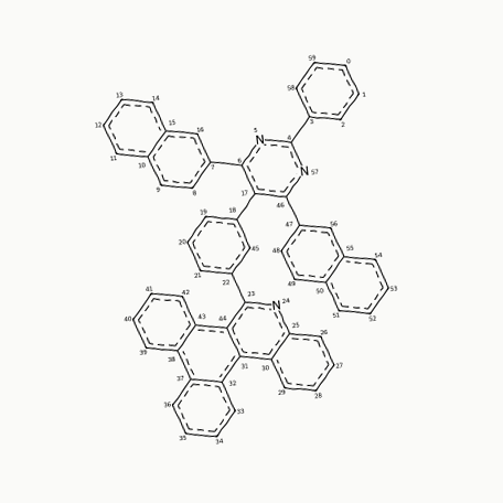 c1ccc(-c2nc(-c3ccc4ccccc4c3)c(-c3cccc(-c4nc5ccccc5c5c6ccccc6c6ccccc6c45)c3)c(-c3ccc4ccccc4c3)n2)cc1